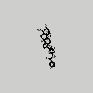 CN1C(=O)C=C[C@@]2(C)C1CC[C@@H]1[C@H]2CC[C@]2(C)C(c3csc(NC(=O)c4ccsc4)n3)CC[C@@H]12